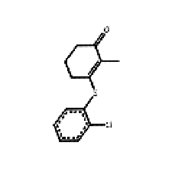 CC1=C(Sc2ccccc2Cl)CCCC1=O